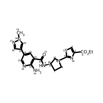 CCOC(=O)c1csc(N2CC[C@@H](NC(=O)c3cc(-c4cnn(C)c4)cnc3N)C2)n1